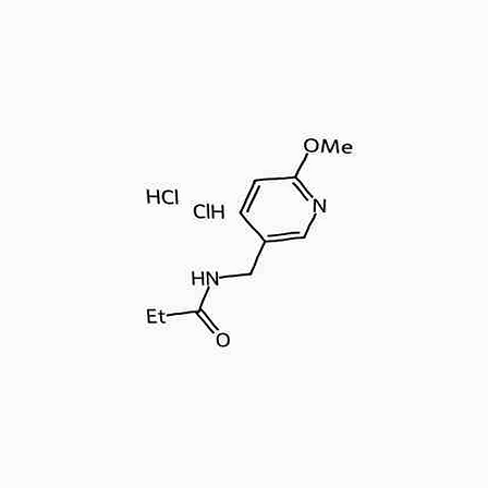 CCC(=O)NCc1ccc(OC)nc1.Cl.Cl